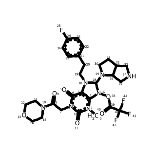 Cn1c2c(c(=O)n(CC(=O)N3CCOCC3)c1=O)N(CCc1ccc(F)cc1)C(N1CCC3CNCC31)N2OC(=O)C(F)(F)F